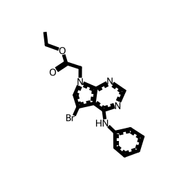 CCOC(=O)Cn1cc(Br)c2c(Nc3ccccc3)ncnc21